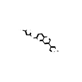 Cn1cc(-c2cnc3ccc(Nc4cc(C(C)(C)C)on4)nc3c2)cn1